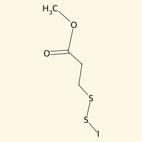 COC(=O)CCSSI